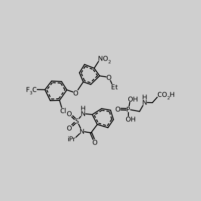 CC(C)N1C(=O)c2ccccc2NS1(=O)=O.CCOc1cc(Oc2ccc(C(F)(F)F)cc2Cl)ccc1[N+](=O)[O-].O=C(O)CNCP(=O)(O)O